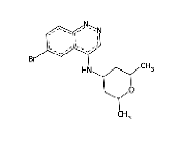 CC1CC(Nc2cnnc3ccc(Br)cc23)CC(C)O1